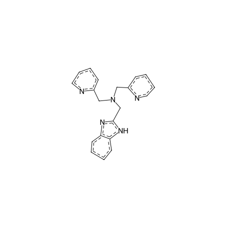 c1ccc(CN(Cc2ccccn2)Cc2nc3ccccc3[nH]2)nc1